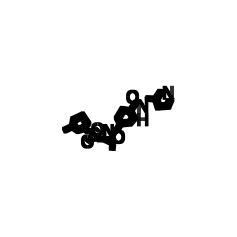 Cc1cccc(S(=O)(=O)Cc2nc(-c3ccc(C(=O)NCc4cccnc4)cc3)oc2C)c1